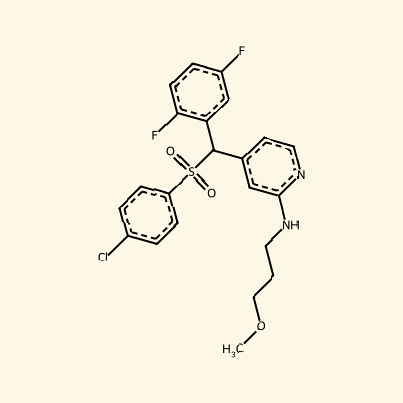 COCCCNc1cc(C(c2cc(F)ccc2F)S(=O)(=O)c2ccc(Cl)cc2)ccn1